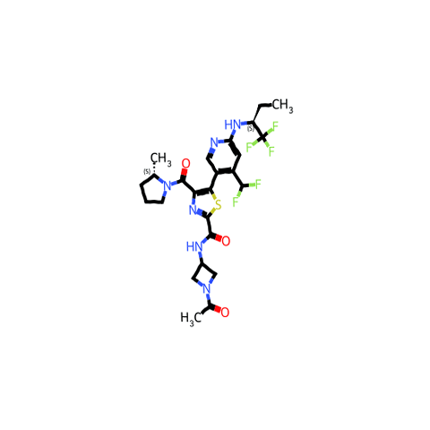 CC[C@H](Nc1cc(C(F)F)c(-c2sc(C(=O)NC3CN(C(C)=O)C3)nc2C(=O)N2CCC[C@@H]2C)cn1)C(F)(F)F